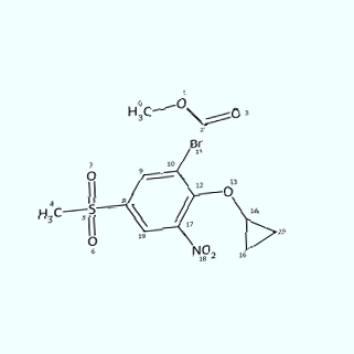 COC=O.CS(=O)(=O)c1cc(Br)c(OC2CC2)c([N+](=O)[O-])c1